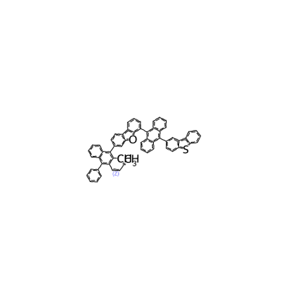 C#C/C=C\c1c(C)c(-c2ccc3c(c2)oc2c(-c4c5ccccc5c(-c5ccc6sc7ccccc7c6c5)c5ccccc45)cccc23)c2ccccc2c1-c1ccccc1